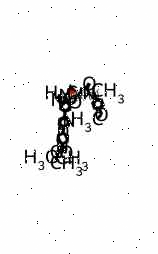 COc1ccc([C@@H](C)N2C[C@H]([C@@H](C)Oc3cc(-c4ccc(N5CCN(C(=O)OC(C)(C)C)CC5)cn4)cc4ncn(C5CC5)c34)CC2=O)cc1